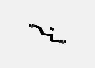 C/C=C/C=C/C(=O)O.[Dy]